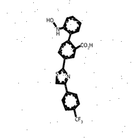 O=C(O)c1cc(-c2nc(-c3ccc(C(F)(F)F)cc3)cs2)ccc1-c1ccccc1NO